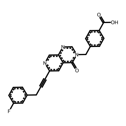 O=C(O)c1ccc(Cn2cnc3cnc(C#CCc4cccc(F)c4)cc3c2=O)cc1